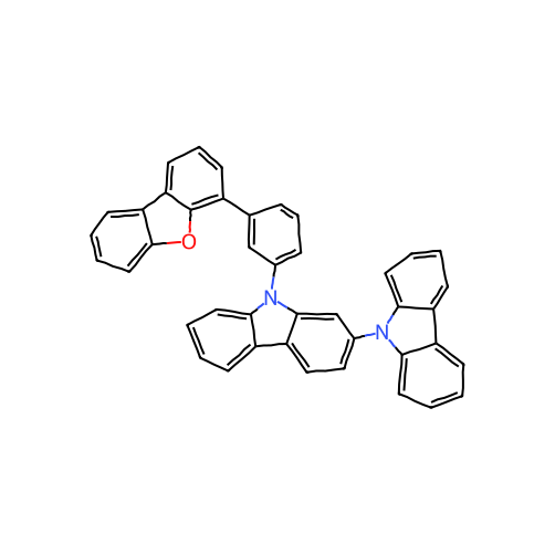 c1cc(-c2cccc3c2oc2ccccc23)cc(-n2c3ccccc3c3ccc(-n4c5ccccc5c5ccccc54)cc32)c1